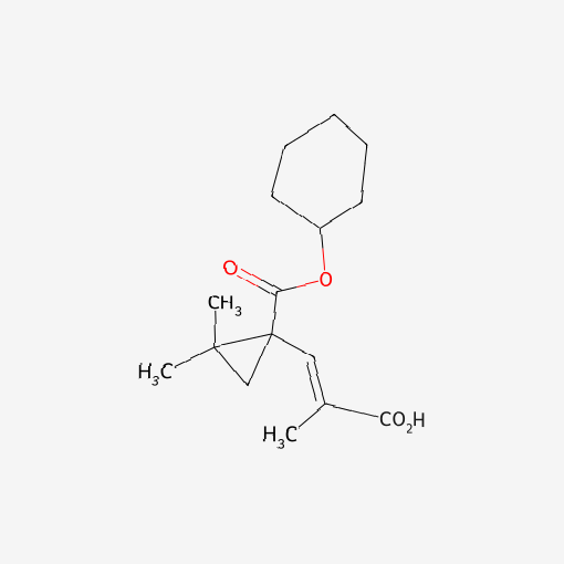 CC(=CC1(C(=O)OC2CCCCC2)CC1(C)C)C(=O)O